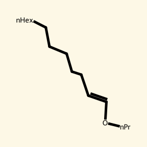 CCCCCCCCCCCC=COCCC